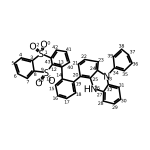 O=S1(=O)c2ccccc2S(=O)(=O)c2c(-c3ccccc3-c3cccc4c3Nc3ccccc3N4c3ccccc3)cccc21